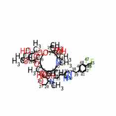 CC[C@H]1OC(=O)[C@H](C)[C@@H](O[C@H]2C[C@@](C)(OC)[C@@H](O)[C@H](C)O2)[C@H](C)[C@@H](O[C@@H]2OCC[C@H](N(C)CCCc3cn(CCc4ccc(C(F)(F)F)cc4)nn3)[C@H]2O)[C@](C)(O)C[C@@H](C)CN(C)[C@H](C)[C@@H](O)[C@]1(C)O